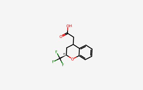 O=C(O)CC1C[C@H](C(F)(F)F)Oc2ccccc21